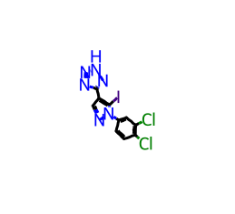 Clc1ccc(-n2ncc(-c3nn[nH]n3)c2I)cc1Cl